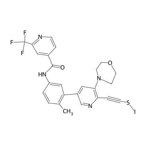 Cc1ccc(NC(=O)c2ccnc(C(F)(F)F)c2)cc1-c1cnc(C#CSI)c(N2CCOCC2)c1